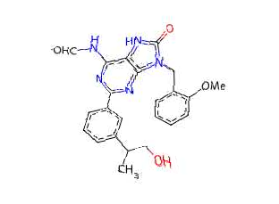 COc1ccccc1Cn1c(=O)[nH]c2c(N[C]=O)nc(-c3cccc(C(C)CO)c3)nc21